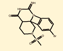 CS(=O)(=O)N1CCC2C(=O)NC(=N)N3c4ccc(Br)cc4C23C1